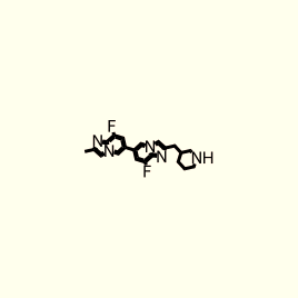 Cc1cn2cc(-c3cc(F)c4nc(CC5CCCNC5)cn4c3)cc(F)c2n1